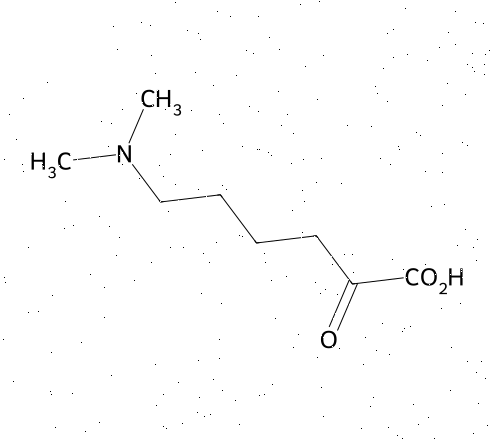 CN(C)CCCCC(=O)C(=O)O